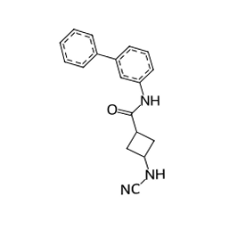 N#CNC1CC(C(=O)Nc2cccc(-c3ccccc3)c2)C1